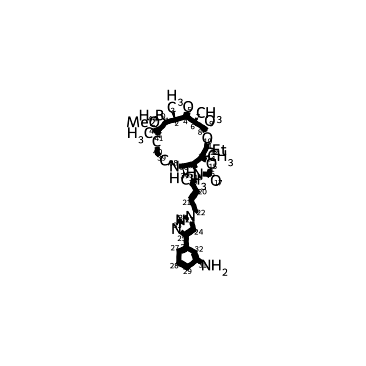 B[C@@H]1[C@@H](C)C(=O)[C@@H](C)C(=O)O[C@H](CC)[C@@]2(C)OC(=O)N(C/C=C/Cn3cc(-c4cccc(N)c4)nn3)[C@@H]2[C@H](C)NCCC[C@@]1(C)OC